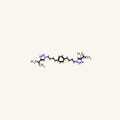 CC(C)c1cn(CCCCc2ccc(CCCCn3cc(C(C)C)nn3)cc2)nn1